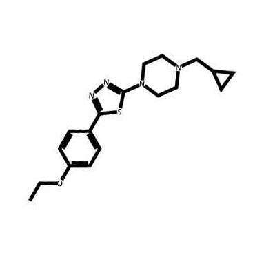 CCOc1ccc(-c2nnc(N3CCN(CC4CC4)CC3)s2)cc1